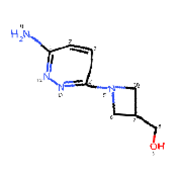 Nc1ccc(N2CC(CO)C2)nn1